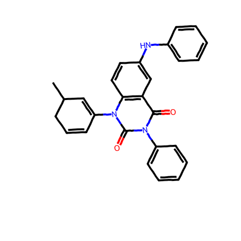 CC1C=C(n2c(=O)n(-c3ccccc3)c(=O)c3cc(Nc4ccccc4)ccc32)C=CC1